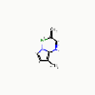 C=C(Br)/C=N\c1[nH]ccc1C